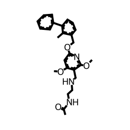 COc1cc(OCc2cccc(-c3ccccc3)c2C)nc(OC)c1CNCCNC(C)=O